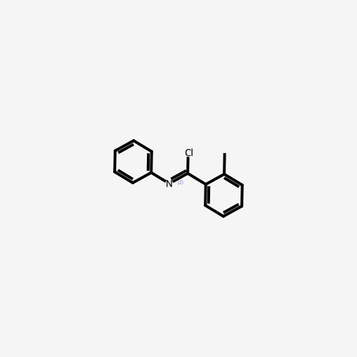 Cc1ccccc1/C(Cl)=N/c1ccccc1